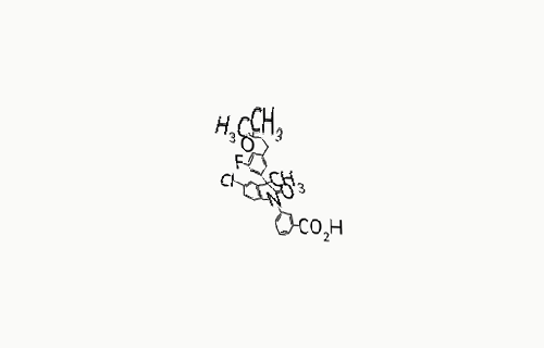 CC1(C)CCc2cc(C3(C)C(=O)N(c4cccc(C(=O)O)c4)c4ccc(Cl)cc43)cc(F)c2O1